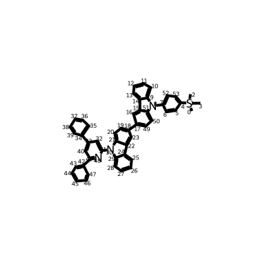 CS(C)(C)c1ccc(-n2c3ccccc3c3cc(-c4ccc5c(c4)c4ccccc4n5-c4cc(-c5ccccc5)cc(-c5ccccc5)n4)ccc32)cc1